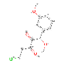 COc1cccc(C(OC)C(=O)C(=O)CCCl)c1